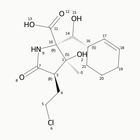 C[C@]1(O)[C@@H](CCCl)C(=O)N[C@]1(C(=O)O)C(O)[C@@H]1C=CCCC1